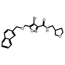 O=C(NCC1CCOC1)c1noc(COCc2ccc3ccccc3c2)c1Br